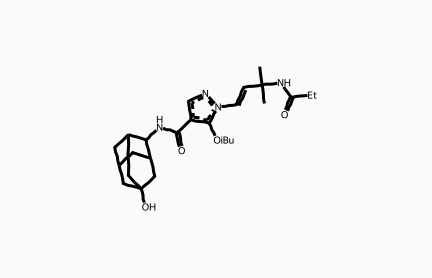 CCC(=O)NC(C)(C)/C=C/n1ncc(C(=O)NC2C3CC4CC2CC(O)(C4)C3)c1OCC(C)C